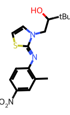 Cc1cc([N+](=O)[O-])ccc1N=c1sccn1CC(O)C(C)(C)C